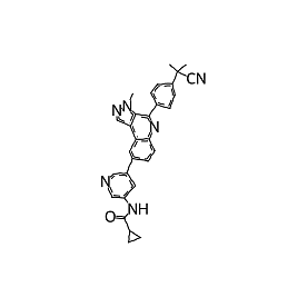 Cn1ncc2c3cc(-c4cncc(NC(=O)C5CC5)c4)ccc3nc(-c3ccc(C(C)(C)C#N)cc3)c21